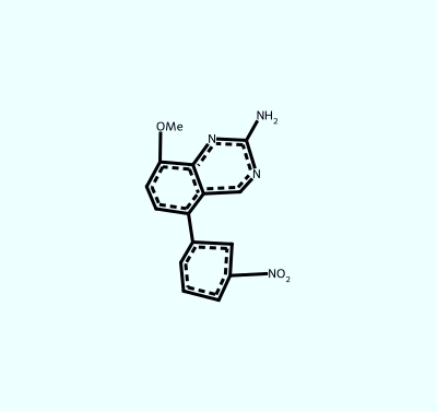 COc1ccc(-c2cccc([N+](=O)[O-])c2)c2cnc(N)nc12